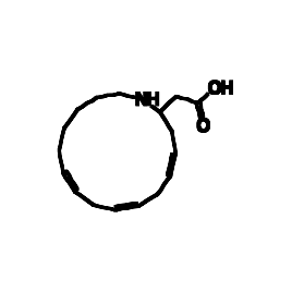 O=C(O)CC1CC=CCC=CCC=CCCCCCN1